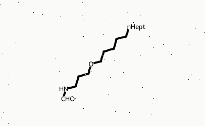 CCCCCCCCCCCCOCCCN[C]=O